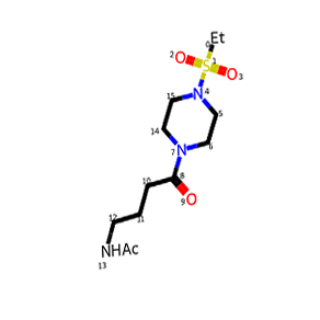 CCS(=O)(=O)N1CCN(C(=O)CCCNC(C)=O)CC1